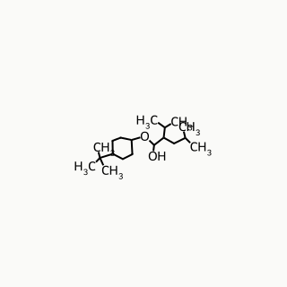 CC(C)CC(C(C)C)C(O)OC1CCC(C(C)(C)C)CC1